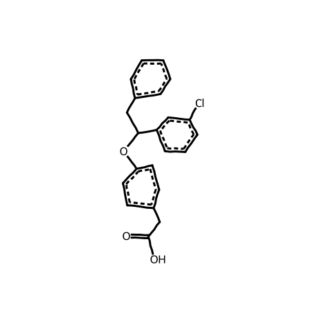 O=C(O)Cc1ccc(OC(Cc2ccccc2)c2cccc(Cl)c2)cc1